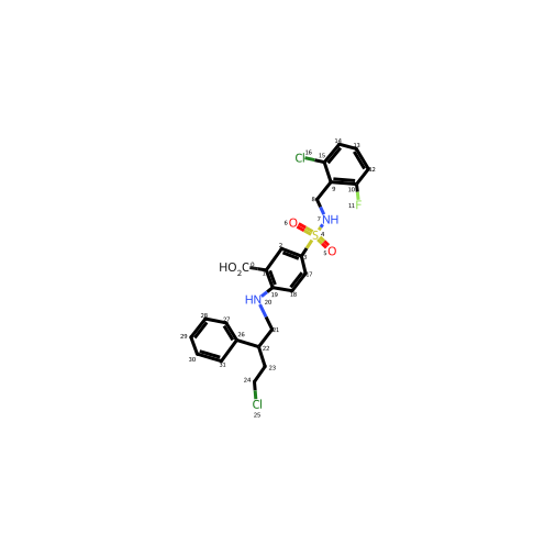 O=C(O)c1cc(S(=O)(=O)NCc2c(F)cccc2Cl)ccc1NCC(CCCl)c1ccccc1